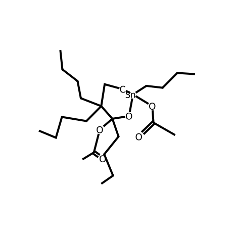 CCCCC1(CCCC)C[CH2][Sn]([CH2]CCC)([O]C(C)=O)[O]C1(CCCC)OC(C)=O